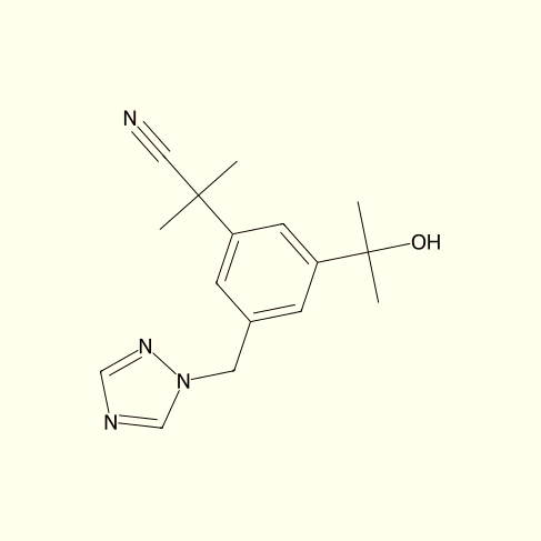 CC(C)(O)c1cc(Cn2cncn2)cc(C(C)(C)C#N)c1